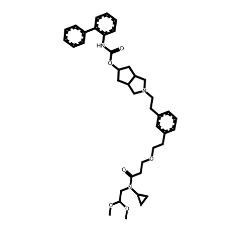 COC(CN(C(=O)CCOCCc1cccc(CCN2CC3CC(OC(=O)Nc4ccccc4-c4ccccc4)CC3C2)c1)C1CC1)OC